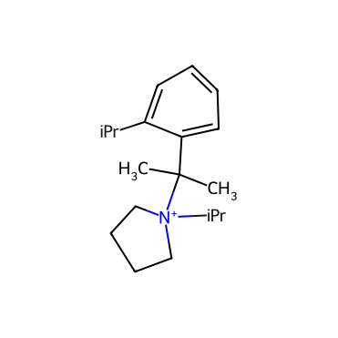 CC(C)c1ccccc1C(C)(C)[N+]1(C(C)C)CCCC1